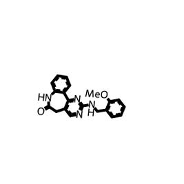 COc1ccccc1CNc1ncc2c(n1)-c1ccccc1NC(=O)C2